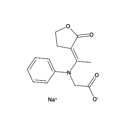 CC(=C1CCOC1=O)N(CC(=O)[O-])c1ccccc1.[Na+]